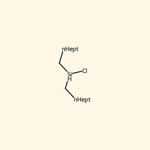 CCCCCCCC[SiH](Cl)CCCCCCCC